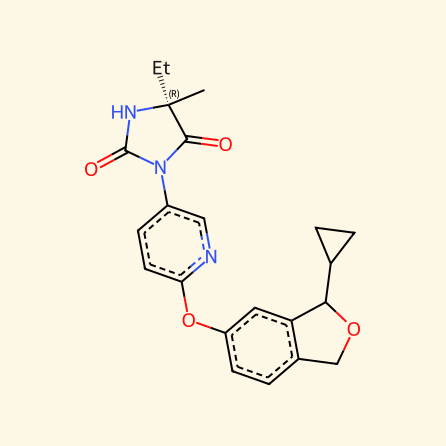 CC[C@@]1(C)NC(=O)N(c2ccc(Oc3ccc4c(c3)C(C3CC3)OC4)nc2)C1=O